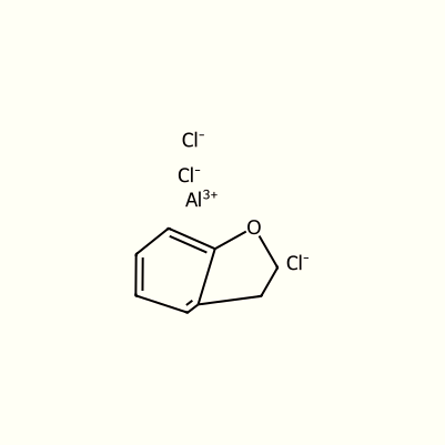 [Al+3].[Cl-].[Cl-].[Cl-].c1ccc2c(c1)CCO2